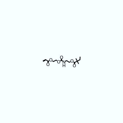 C=CC(=O)OCCOC(=O)NCCOC(=O)C(C)(C)CC